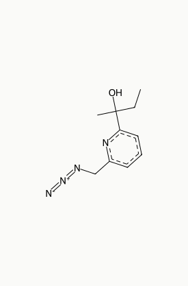 CCC(C)(O)c1cccc(CN=[N+]=[N-])n1